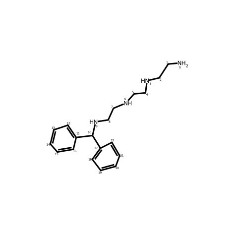 NCCNCCNCCNC(c1ccccc1)c1ccccc1